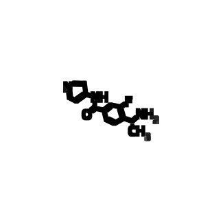 C[C@@H](N)c1ccc(C(=O)Nc2ccncc2)cc1F